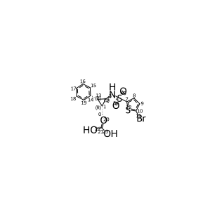 C[C@H]1[C@H](NS(=O)(=O)c2ccc(Br)s2)[C@H]1c1ccccc1.O=C(O)O